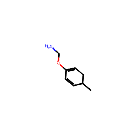 CC1C=CC(OCN)=CC1